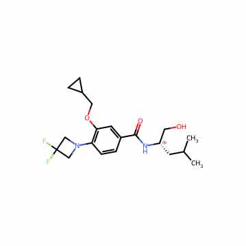 CC(C)C[C@@H](CO)NC(=O)c1ccc(N2CC(F)(F)C2)c(OCC2CC2)c1